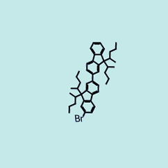 CCCC(C)C1(C(C)CCC)c2ccccc2-c2ccc(-c3ccc4c(c3)C(C(C)CCC)(C(C)CCC)c3cc(Br)ccc3-4)cc21